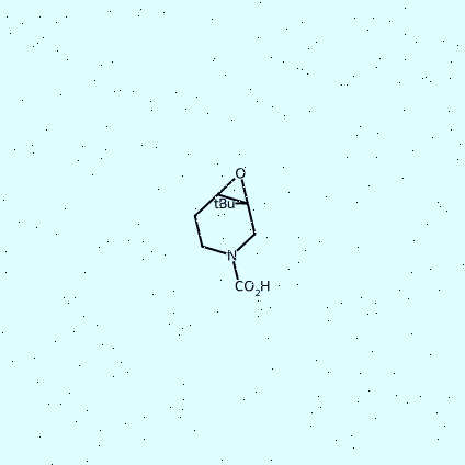 CC(C)(C)C12CN(C(=O)O)CCC1O2